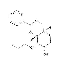 O[C@H]1CO[C@@H]2COC(c3ccccc3)O[C@H]2[C@H]1OCCF